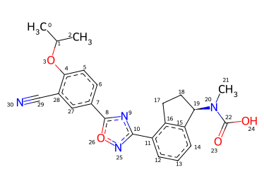 CC(C)Oc1ccc(-c2nc(-c3cccc4c3CC[C@H]4N(C)C(=O)O)no2)cc1C#N